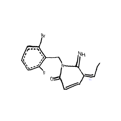 C/C=C1/C=CC(=O)N(Cc2c(F)cccc2Br)C1=N